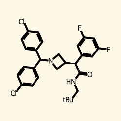 CC(C)(C)CNC(=O)[C@H](c1cc(F)cc(F)c1)C1CN(C(c2ccc(Cl)cc2)c2ccc(Cl)cc2)C1